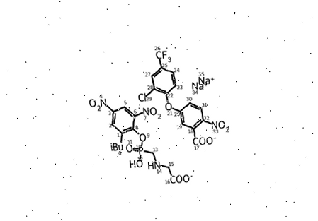 CCC(C)c1cc([N+](=O)[O-])cc([N+](=O)[O-])c1OP(=O)(O)CNCC(=O)[O-].O=C([O-])c1cc(Oc2ccc(C(F)(F)F)cc2Cl)ccc1[N+](=O)[O-].[Na+].[Na+]